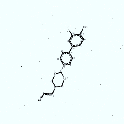 CCC=C[C@H]1CO[C@H](c2ccc(-c3ccc(F)c(F)c3)cc2)OC1